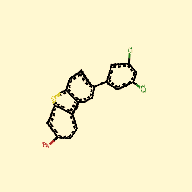 Clc1cc(Cl)cc(-c2ccc3sc4cc(Br)ccc4c3c2)c1